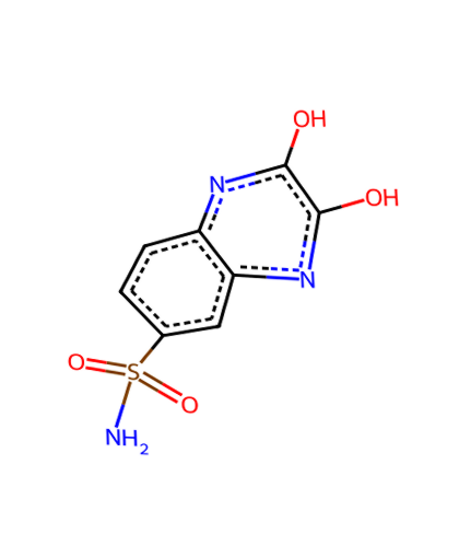 NS(=O)(=O)c1ccc2nc(O)c(O)nc2c1